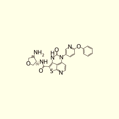 N[C@H]1COC[C@H]1NC(=O)c1sc2nccc3c2c1NC(=O)N3c1ccc(Oc2ccccc2)nc1